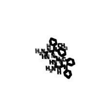 Cc1ccccc1N(C(=NCCN=C(NC(=N)N)N(c1ccccc1)c1ccccc1C)NC(=N)N)c1ccccc1